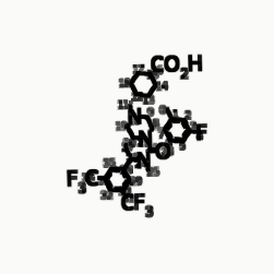 Cc1cc(F)ccc1[C@H]1CN(C[C@H]2CC[C@H](C(=O)O)CC2)CCN1C(=O)N(C)[C@H](C)c1cc(C(F)(F)F)cc(C(F)(F)F)c1